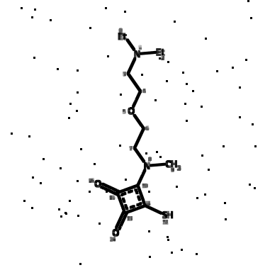 CCN(CC)CCOCCN(C)c1c(S)c(=O)c1=O